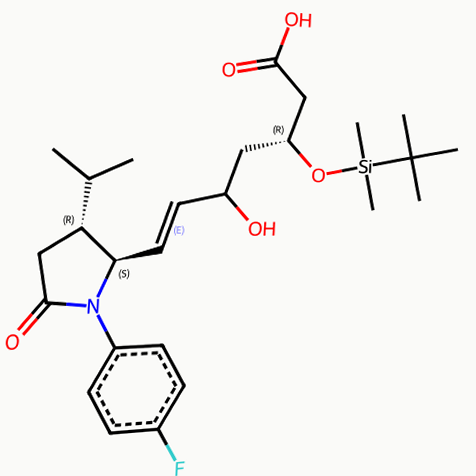 CC(C)[C@H]1CC(=O)N(c2ccc(F)cc2)[C@@H]1/C=C/C(O)C[C@H](CC(=O)O)O[Si](C)(C)C(C)(C)C